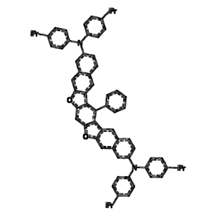 CC(C)c1ccc(N(c2ccc(C(C)C)cc2)c2ccc3cc4c(cc3c2)oc2cc3oc5cc6cc(N(c7ccc(C(C)C)cc7)c7ccc(C(C)C)cc7)ccc6cc5c3c(-c3ccccc3)c24)cc1